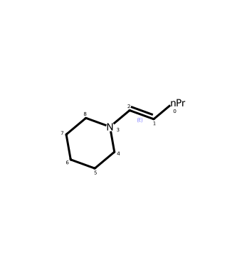 CCC/C=C/N1CCCCC1